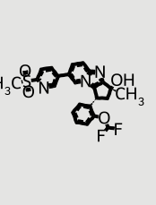 C[C@]1(O)C[C@H](c2ccccc2OC(F)F)c2c1nc1ccc(-c3ccc(S(C)(=O)=O)nc3)cn21